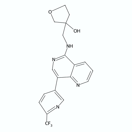 OC1(CNc2ncc(-c3ccc(C(F)(F)F)nc3)c3ncccc23)CCOC1